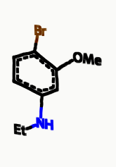 CCNc1ccc(Br)c(OC)c1